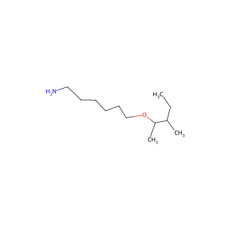 CCC(C)C(C)OCCCCCCN